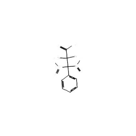 NC(N)(C(=O)O)C(c1ccccc1)([N+](=O)[O-])[N+](=O)[O-]